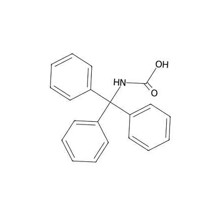 O=C(O)NC(c1ccccc1)(c1ccccc1)c1ccccc1